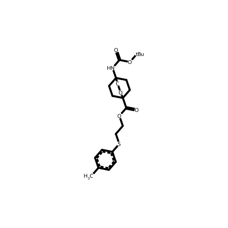 Cc1ccc(SCCOC(=O)C23CCC(NC(=O)OC(C)(C)C)(CC2)CO3)cc1